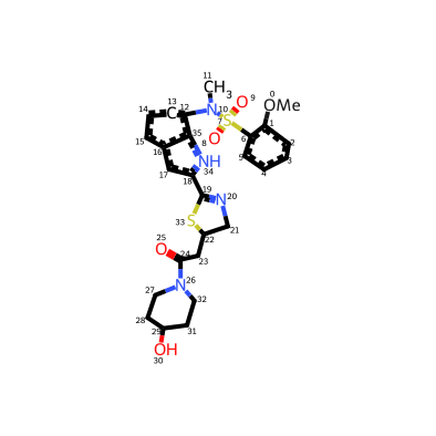 COc1ccccc1S(=O)(=O)N(C)c1cccc2cc(C3=NCC(CC(=O)N4CCC(O)CC4)S3)[nH]c12